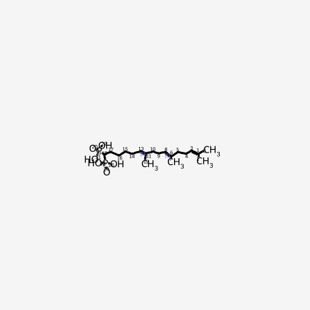 CC(C)=CCC/C(C)=C/CC/C(C)=C/CCCCC(P(=O)(O)O)P(=O)(O)O